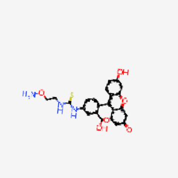 NOCCNC(=S)Nc1ccc(-c2c3ccc(=O)cc-3oc3cc(O)ccc23)c(C(=O)O)c1